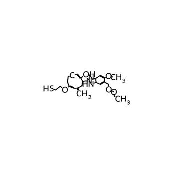 C=C1/C=C(/OCCS)CCC/C=C(/O)C(N2N=C3C=C(OC)C(COOCC)=CC3N2)C1